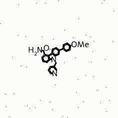 COc1ccc(-c2c[c]c3c4c(C(N)=O)cccc4n(Cc4cccnc4)c3c2)cc1